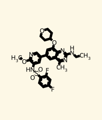 CCNc1nc(C)c2cc(-c3cnc(OC)c(NS(=O)(=O)c4ccc(F)cc4F)c3)cc(OC3CCOCC3)c2n1